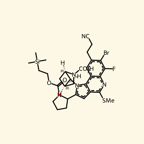 CSc1nc2c(F)c(Br)c(CCC#N)cc2c2c1cc(C1CCCN1C(=O)OCC[Si](C)(C)C)n2[C@H]1[C@@H]2C[C@H]1N(C(=O)O)C2